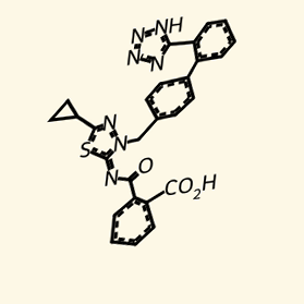 O=C(O)c1ccccc1C(=O)N=c1sc(C2CC2)nn1Cc1ccc(-c2ccccc2-c2nnn[nH]2)cc1